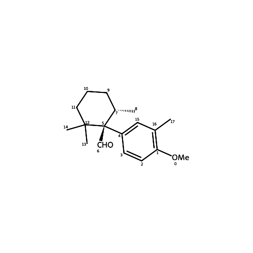 COc1ccc([C@@]2(C=O)[C@@H](C)CCCC2(C)C)cc1C